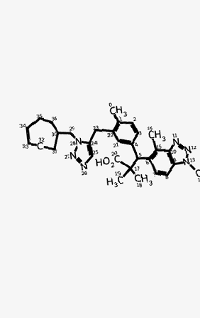 Cc1ccc(C(c2ccc3c(nnn3C)c2C)C(C)(C)C(=O)O)cc1Cc1cnnn1CC1CCCCCC1